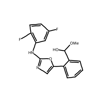 COC(O)c1ccccc1-c1cnc(Nc2cc(F)ccc2F)o1